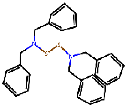 c1ccc(CN(Cc2ccccc2)SSN(Cc2ccccc2)Cc2ccccc2)cc1